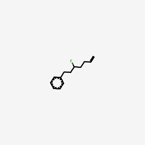 C=CCCC(F)CCc1ccccc1